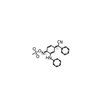 CS(=O)(=O)O/N=C1C=C/C(=C(\C#N)c2ccccc2)C=C\1Nc1ccccc1